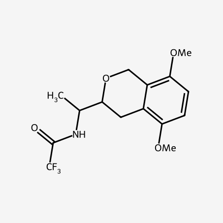 COc1ccc(OC)c2c1COC(C(C)NC(=O)C(F)(F)F)C2